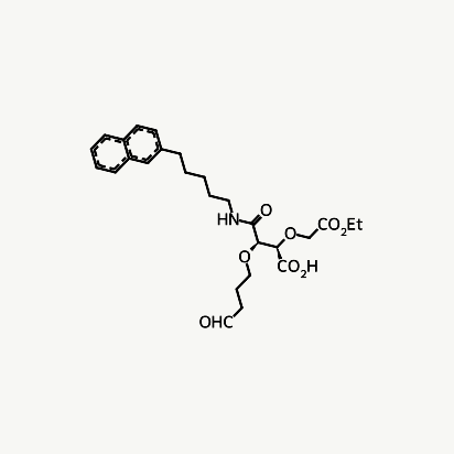 CCOC(=O)CO[C@@H](C(=O)O)[C@@H](OCCCC=O)C(=O)NCCCCCc1ccc2ccccc2c1